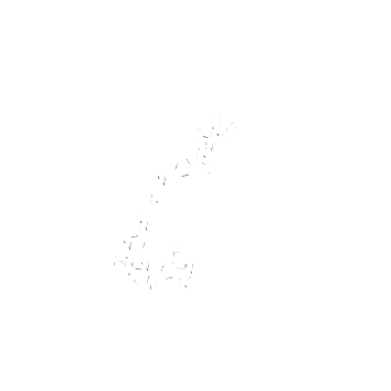 Cc1nc2c(F)cc(-c3nc(Nc4ccc(N5CCC(N6CCN(Cc7ccc8c(c7)CN(N7CCC(=O)NC7=O)C8=O)CC6)CC5)cn4)ncc3F)cc2n1C(C)C